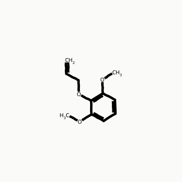 C=CCOc1c(OC)cccc1OC